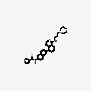 O=C(Nc1ccc2cc(-c3cccc4c(NCCCN5CCOCC5)nccc34)ccc2c1)c1ccsc1